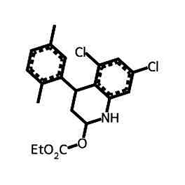 CCOC(=O)OC1CC(c2cc(C)ccc2C)c2c(Cl)cc(Cl)cc2N1